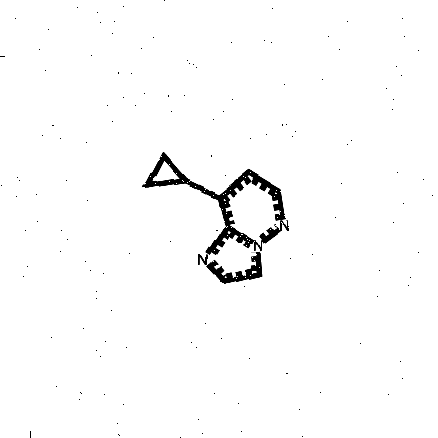 c1cn2nccc(C3CC3)c2n1